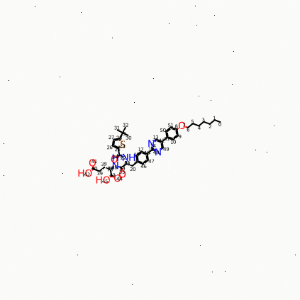 CCCCCCCOc1ccc(-c2cnc(-c3ccc(C[C@H](NC(=O)c4ccc(C(C)(C)C)s4)C(=O)N[C@H](CCC(=O)O)C(=O)O)cc3)nc2)cc1